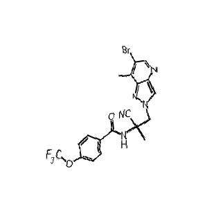 Cc1c(Br)cnc2cn(CC(C)(C#N)NC(=O)c3ccc(OC(F)(F)F)cc3)nc12